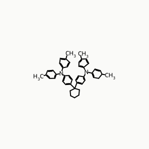 Cc1ccc(N(C2=CCC(C)C=C2)c2ccc(C3(c4ccc(N(c5ccc(C)cc5)c5ccc(C)cc5)cc4)CCCCC3)cc2)cc1